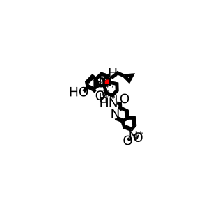 O=C(N[C@H]1CC[C@@]2(O)[C@H]3Cc4ccc(O)c5c4[C@@]2(CCN3CC2CC2)[C@H]1O5)c1cc2ccc([N+](=O)[O-])cc2cn1